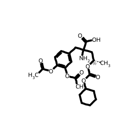 CC(=O)Oc1ccc(CC(N)(C[C@H](C)OC(=O)OC2CCCCC2)C(=O)O)cc1OC(C)=O